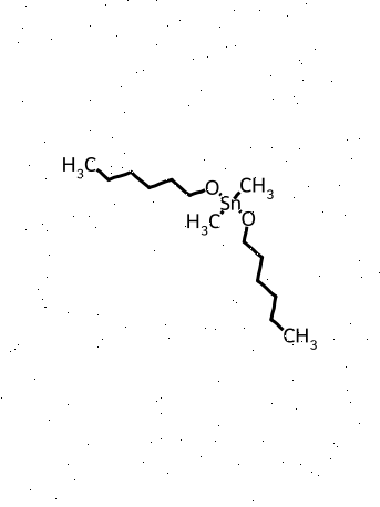 CCCCCC[O][Sn]([CH3])([CH3])[O]CCCCCC